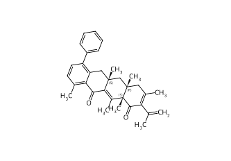 C=C(C)C1=C(C)C[C@@]2(C)C[C@@]3(C)Cc4c(-c5ccccc5)ccc(C)c4C(=O)C3=C(C)[C@@]2(C)C1=O